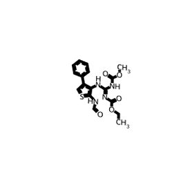 CCOC(=O)N=C(NC(=O)OC)Nc1c(-c2ccccc2)csc1NC=O